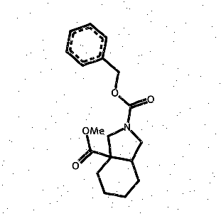 COC(=O)C12CCCCC1CN(C(=O)OCc1ccccc1)C2